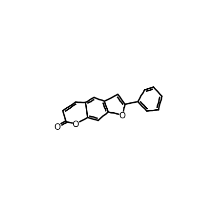 O=c1ccc2cc3cc(-c4ccccc4)oc3cc2o1